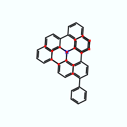 c1ccc(-c2ccc(-c3ccccc3N(c3ccccc3-c3ccccc3)c3ccccc3-c3cccc4cccc(C5CCCCC5)c34)cc2)cc1